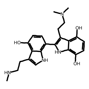 CNCCc1c[nH]c2c(-c3[nH]c4c(O)ccc(O)c4c3CCN(C)C)ccc(O)c12